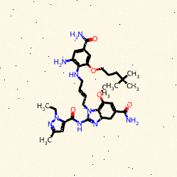 CCn1nc(C)cc1C(=O)NC1=NC2CC(C(N)=O)=CC(OC)=C2N1C/C=C/CNc1c(N)cc(C(N)=O)cc1OCCCC(C)(C)C